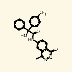 Cc1noc(=O)c2ccc(NC(=O)C(O)(c3ccccc3)c3ccc(C(F)(F)F)cc3)cc12